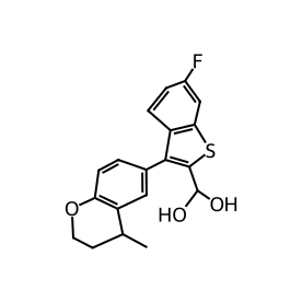 CC1CCOc2ccc(-c3c(C(O)O)sc4cc(F)ccc34)cc21